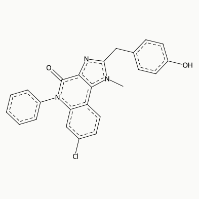 Cn1c(Cc2ccc(O)cc2)nc2c(=O)n(-c3ccccc3)c3cc(Cl)ccc3c21